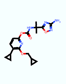 CC(C)(NC(=O)Oc1ccc(C2CC2)c(OCC2CC2)n1)c1nc(N)no1